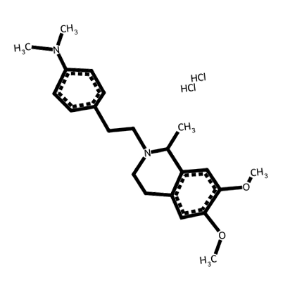 COc1cc2c(cc1OC)C(C)N(CCc1ccc(N(C)C)cc1)CC2.Cl.Cl